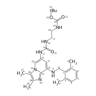 Cc1cccc(C)c1CNc1cc(NC(=O)NCCNC(=O)OC(C)(C)C)cn2c(C)c(C)nc12